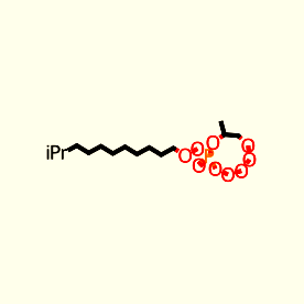 CC(C)CCCCCCCCCOOP1(=O)OOOOOCC(C)O1